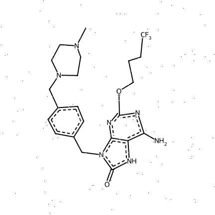 CN1CCN(Cc2ccc(Cn3c(=O)[nH]c4c(N)nc(OCCCC(F)(F)F)nc43)cc2)CC1